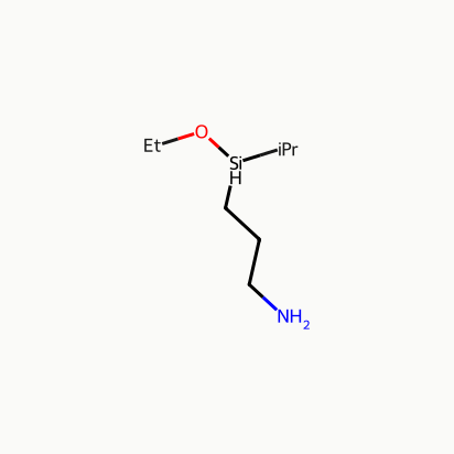 CCO[SiH](CCCN)C(C)C